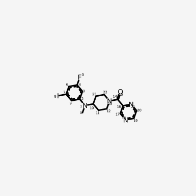 CN(c1cc(F)cc(I)c1)C1CCN(C(=O)c2cnccn2)CC1